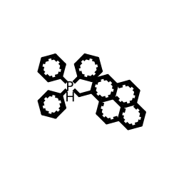 c1ccc([PH](Cc2ccc3ccc4cccc5ccc2c3c45)(c2ccccc2)c2ccccc2)cc1